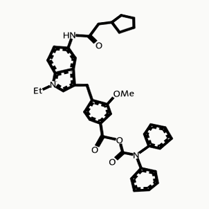 CCn1cc(Cc2ccc(C(=O)OC(=O)N(c3ccccc3)c3ccccc3)cc2OC)c2cc(NC(=O)CC3CCCC3)ccc21